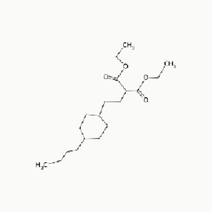 CCCCC1CCC(CCC(C(=O)OCC)C(=O)OCC)CC1